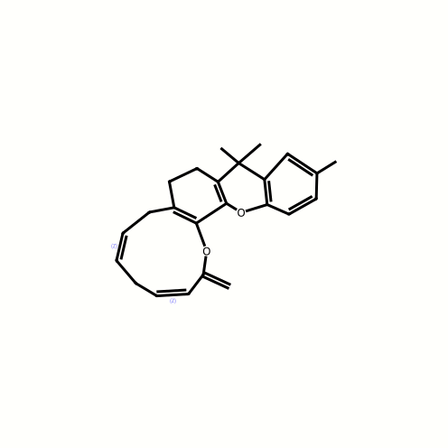 C=C1/C=C\C/C=C\CC2=C(O1)C1=C(CC2)C(C)(C)c2cc(C)ccc2O1